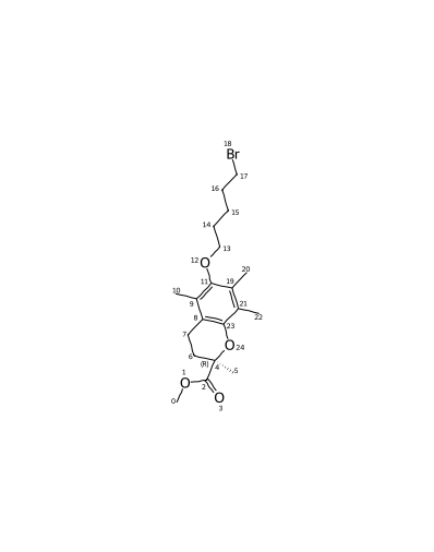 COC(=O)[C@@]1(C)CCc2c(C)c(OCCCCCBr)c(C)c(C)c2O1